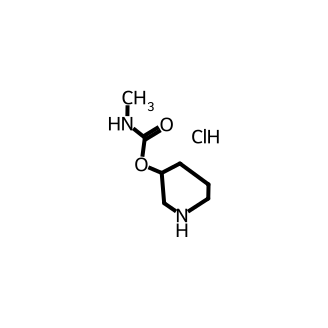 CNC(=O)OC1CCCNC1.Cl